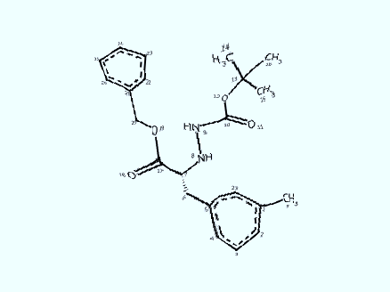 Cc1cccc(C[C@@H](NNC(=O)OC(C)(C)C)C(=O)OCc2ccccc2)c1